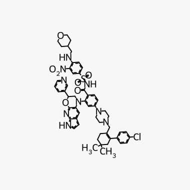 CC1(C)CCC(CN2CCN(c3ccc(C(=O)NS(=O)(=O)c4ccc(NCC5CCOCC5)c([N+](=O)[O-])c4)c(N4CC(c5cccnc5)Oc5nc6[nH]ccc6cc54)c3)CC2)=C(c2ccc(Cl)cc2)C1